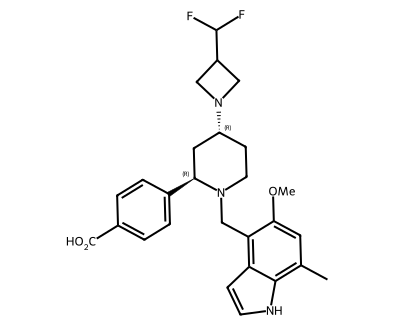 COc1cc(C)c2[nH]ccc2c1CN1CC[C@@H](N2CC(C(F)F)C2)C[C@@H]1c1ccc(C(=O)O)cc1